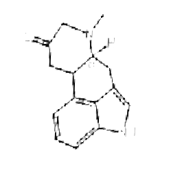 CN1CC(=O)CC2c3cccc4[nH]cc(c34)C[C@H]21